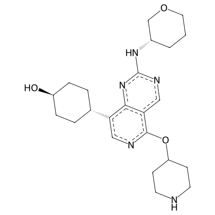 O[C@H]1CC[C@H](c2cnc(OC3CCNCC3)c3cnc(N[C@H]4CCCOC4)nc32)CC1